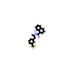 CC(Cc1cccc(C(F)(F)F)c1)N[C@H](C)c1cccc2ccccc12